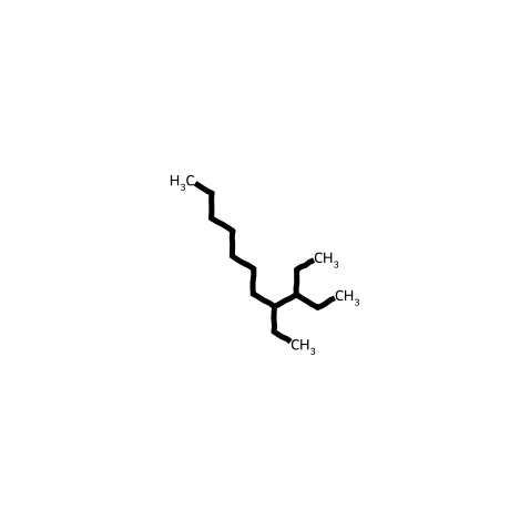 CCCCCCCC(CC)[C](CC)CC